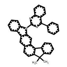 CC1(C)c2ccccc2-c2c1ccc1cc3c4ccccc4n(-c4nc(-c5ccccc5)c5ccccc5n4)c3cc21